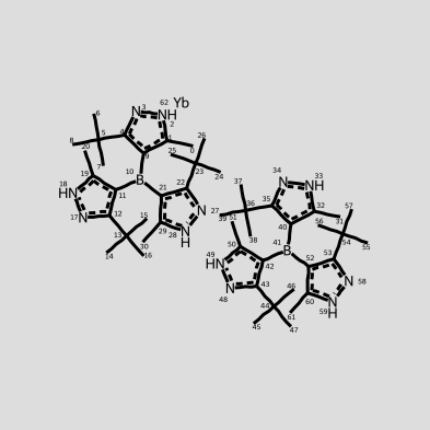 Cc1[nH]nc(C(C)(C)C)c1B(c1c(C(C)(C)C)n[nH]c1C)c1c(C(C)(C)C)n[nH]c1C.Cc1[nH]nc(C(C)(C)C)c1B(c1c(C(C)(C)C)n[nH]c1C)c1c(C(C)(C)C)n[nH]c1C.[Yb]